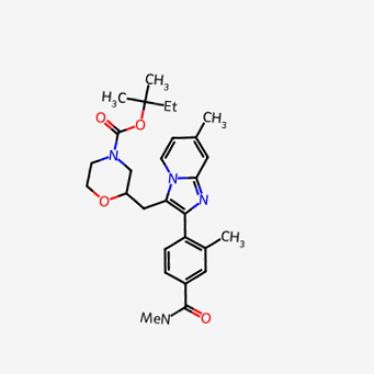 CCC(C)(C)OC(=O)N1CCOC(Cc2c(-c3ccc(C(=O)NC)cc3C)nc3cc(C)ccn23)C1